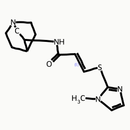 Cn1ccnc1S/C=C/C(=O)NC1CN2CCC1CC2